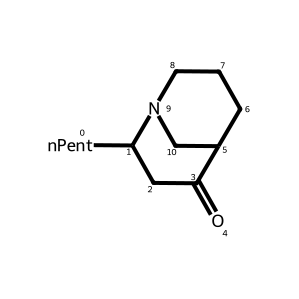 CCCCCC1CC(=O)C2CCCN1C2